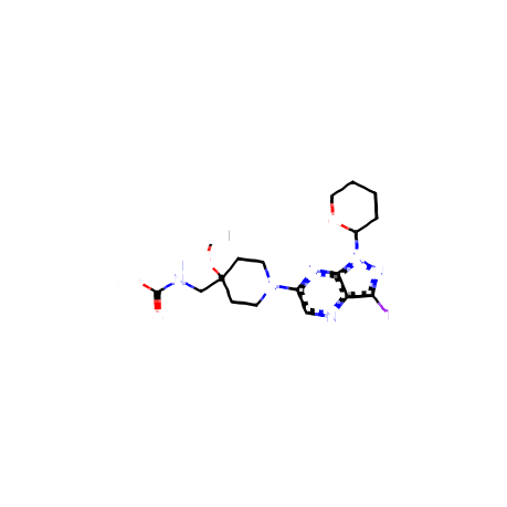 COC1(CNC(=O)O)CCN(c2cnc3c(I)nn(C4CCCCO4)c3n2)CC1